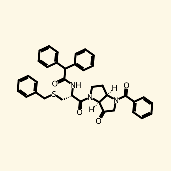 O=C(N[C@@H](CSCc1ccccc1)C(=O)N1CC[C@@H]2[C@H]1C(=O)CN2C(=O)c1ccccc1)C(c1ccccc1)c1ccccc1